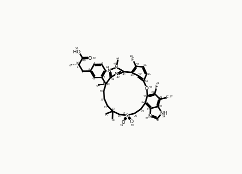 C[C@@H](Cc1cccc([C@@]2(C)CCCC(C)(C)CS(=O)(=O)CCc3c(c(F)c(F)c4[nH]cnc34)Oc3ccc(F)c(c3)-c3nc2nn3C)c1)C(=O)O